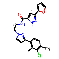 Cc1c(-c2ccn(C[C@H](C)NC(=O)c3cc(-c4ccco4)n[nH]3)n2)ccc(C#N)c1Cl